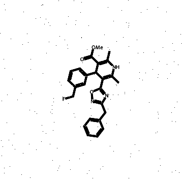 COC(=O)C1=C(C)NC(C)=C(c2nc(Cc3ccccc3)no2)C1c1cccc(CF)c1